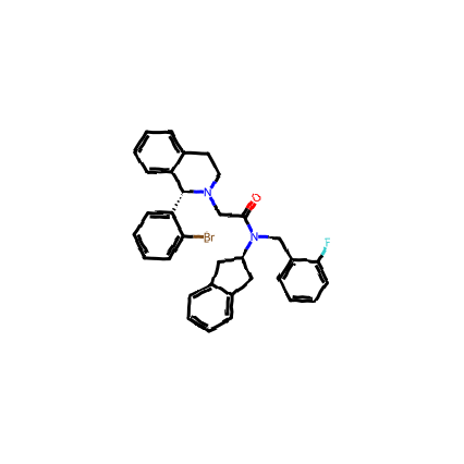 O=C(CN1CCc2ccccc2[C@H]1c1ccccc1Br)N(Cc1ccccc1F)C1Cc2ccccc2C1